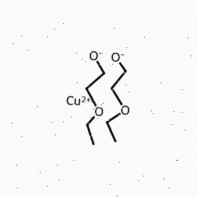 CCOCC[O-].CCOCC[O-].[Cu+2]